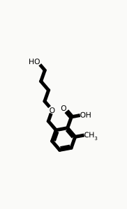 Cc1cccc(COCCCCO)c1C(=O)O